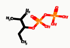 CCC(OP(=O)(O)OP(=O)(O)O)C(C)C